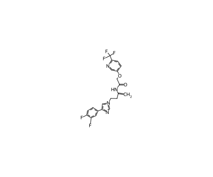 C=C(CCn1cnc(-c2ccc(F)c(F)c2)c1)NC(=O)COc1ccc(C(F)(F)F)nc1